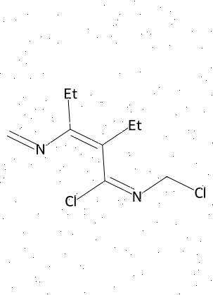 C=N/C(CC)=C(CC)\C(Cl)=N/CCl